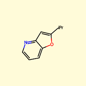 CC(C)c1cc2ncccc2o1